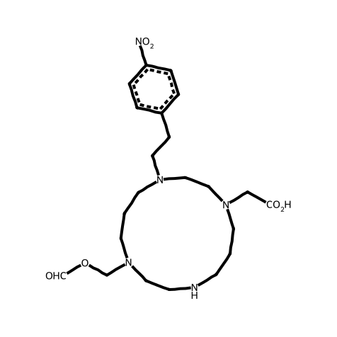 O=COCN1CCCN(CCc2ccc([N+](=O)[O-])cc2)CCN(CC(=O)O)CCCNCC1